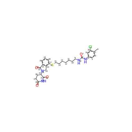 Cc1ccc(NC(=O)NCCCCCCCSc2cccc3c2CN(C2CCC(=O)NC2=O)C3=O)cc1Cl